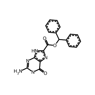 NC1=Nc2[nH]c(C(=O)OC(c3ccccc3)c3ccccc3)nc2C(=O)[N]1